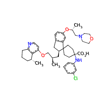 C[C@@H](COc1ccnc2c1[C@H](C)CCC2)C[C@H]1Cc2ccc(O[C@H](C)CN3CCOCC3)cc2C12CCC(Nc1cccc(Cl)c1)(C(=O)O)CC2